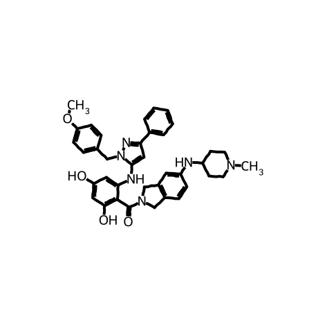 COc1ccc(Cn2nc(-c3ccccc3)cc2Nc2cc(O)cc(O)c2C(=O)N2Cc3ccc(NC4CCN(C)CC4)cc3C2)cc1